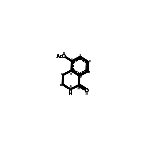 CC(=O)Oc1cccc2c1CCNC2=O